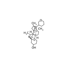 CC1=C(C2CCCOC2)[C@@]2(C)CC[C@@H]3[C@@H](C(C)C=C4CC(O)CC[C@@]43C)[C@@H]2C1